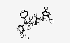 Cn1cc(N(C2CCOCC2)S(=O)(=O)NC(=O)Nc2cc(Cl)sc2Cl)cn1